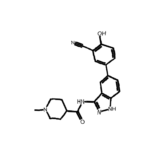 CN1CCC(C(=O)Nc2n[nH]c3ccc(-c4ccc(O)c(C#N)c4)cc23)CC1